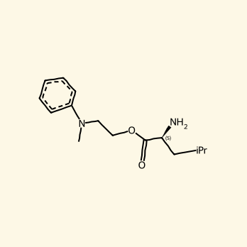 CC(C)C[C@H](N)C(=O)OCCN(C)c1ccccc1